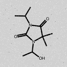 CC(C)N1C(=O)N(C(C)O)C(C)(C)C1=O